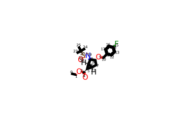 CCOC(=O)[C@H]1[C@@H]2C[C@@H](OCc3ccc(F)cc3)/C(=N/[S@+]([O-])C(C)(C)C)[C@@H]21